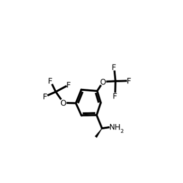 C[C@H](N)c1cc(OC(F)(F)F)cc(OC(F)(F)F)c1